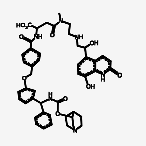 CN(CCNCC(O)c1ccc(O)c2[nH]c(=O)ccc12)C(=O)CC(NC(=O)c1ccc(COc2cccc(C(NC(=O)OC3CN4CCC3CC4)c3ccccc3)c2)cc1)C(=O)O